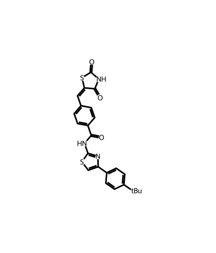 CC(C)(C)c1ccc(-c2csc(NC(=O)c3ccc(C=C4SC(=O)NC4=O)cc3)n2)cc1